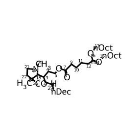 CCCCCCCCCCCCC(CCOC(=O)CCCCC(OCCCCCCCC)OCCCCCCCC)C1N(C)CCC1(C)C(=O)O